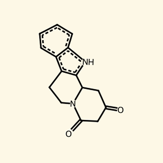 O=C1CC(=O)N2CCc3c([nH]c4ccccc34)C2C1